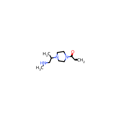 C=CC(=O)N1CCN(C(C)CNC)CC1